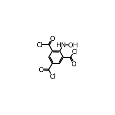 O=C(Cl)c1cc(C(=O)Cl)c(NO)c(C(=O)Cl)c1